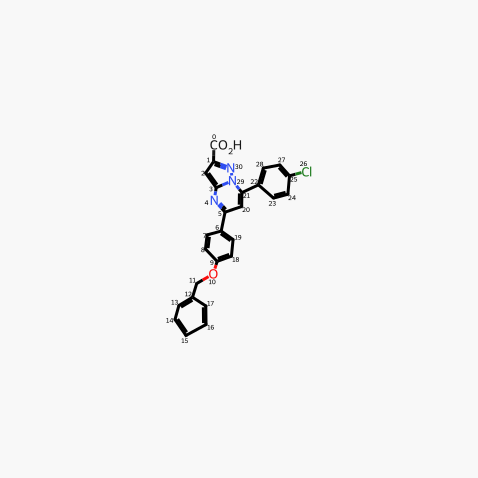 O=C(O)c1cc2nc(-c3ccc(OCc4ccccc4)cc3)cc(-c3ccc(Cl)cc3)n2n1